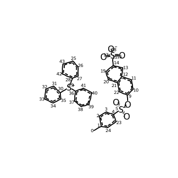 Cc1ccc(S(=O)(=O)Oc2ccc3cc(S(=O)(=O)[O-])ccc3c2)cc1.c1ccc([S+](c2ccccc2)c2ccccc2)cc1